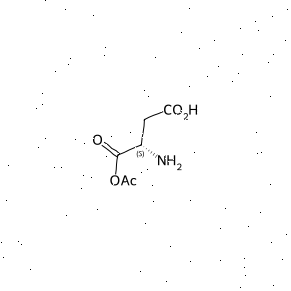 CC(=O)OC(=O)[C@@H](N)CC(=O)O